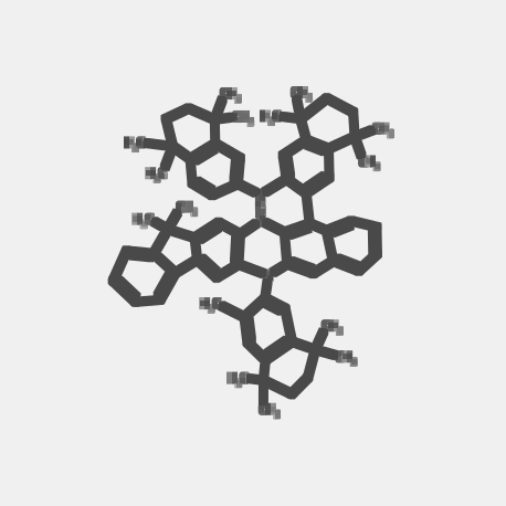 Cc1cc2c(cc1N1c3cc4c(cc3Bc3c1cc1ccccc1c3-c1cc3c(cc1Nc1ccc5c(c1)C(C)(C)CCC5(C)C)C(C)(C)CCC3(C)C)C(C)(C)c1ccccc1-4)C(C)(C)CCC2(C)C